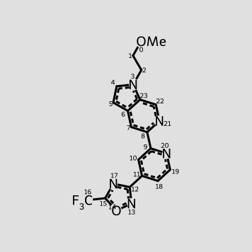 COCCn1ccc2cc(-c3cc(-c4noc(C(F)(F)F)n4)ccn3)ncc21